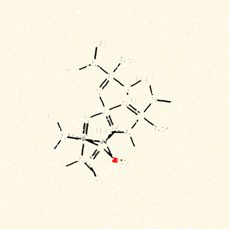 CN=P(N=P(N=P(NC)(N(C)C)N(C)C)(N=P(NC)(N(C)C)N(C)C)N=P(N(C)C)(N(C)C)N(C)C)(NC)NC